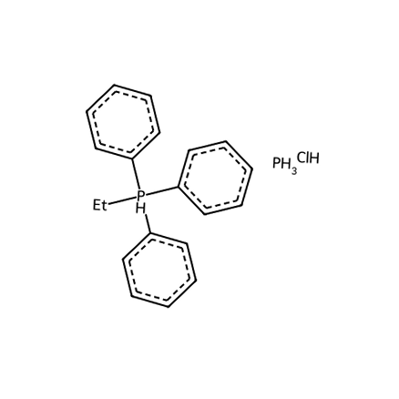 CC[PH](c1ccccc1)(c1ccccc1)c1ccccc1.Cl.P